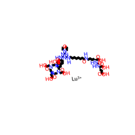 O=C(O)CC[C@H](NC(=O)N[C@@H](CCCCNC(=O)CCCCCCCNc1nc(Nc2ccc(CC3CN(CC(=O)O)CCN(CC(=O)O)CCN(CC(=O)O)CCN3CC(=O)O)cc2)nc(N2CCOCC2)n1)C(=O)O)C(=O)O.[Lu+3]